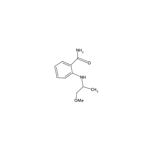 COCC(C)Nc1ccccc1C(N)=O